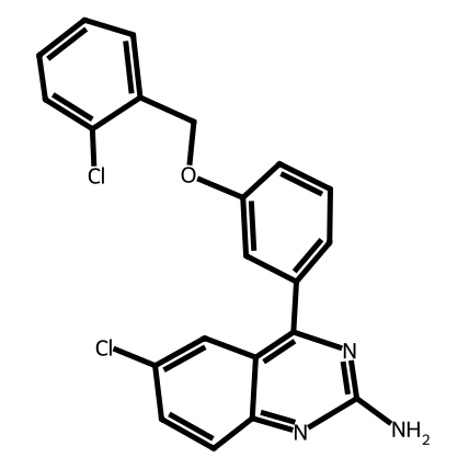 Nc1nc(-c2cccc(OCc3ccccc3Cl)c2)c2cc(Cl)ccc2n1